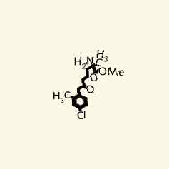 COC(=O)C(C)(N)CCCC(=O)Cc1ccc(Cl)cc1C